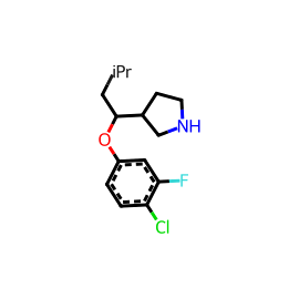 CC(C)CC(Oc1ccc(Cl)c(F)c1)C1CCNC1